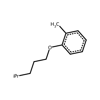 Cc1ccccc1OCCCC(C)C